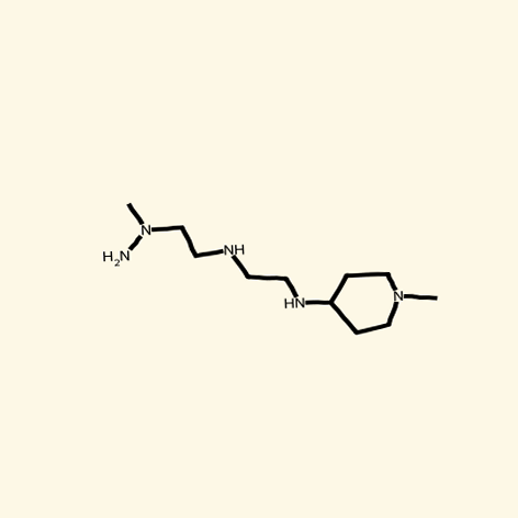 CN(N)CCNCCNC1CCN(C)CC1